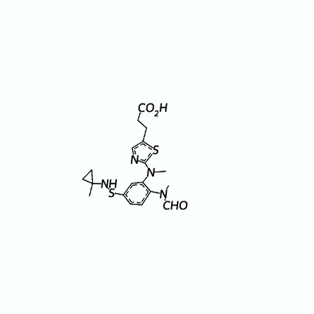 CN(C=O)c1ccc(SNC2(C)CC2)cc1N(C)c1ncc(CCC(=O)O)s1